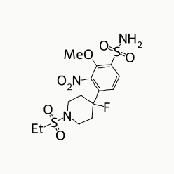 CCS(=O)(=O)N1CCC(F)(c2ccc(S(N)(=O)=O)c(OC)c2[N+](=O)[O-])CC1